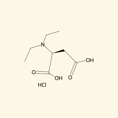 CCN(CC)[C@@H](CC(=O)O)C(=O)O.Cl